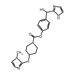 Cn1ccnc1SC1CCN(C(=O)Oc2ccc(C(S)c3ncc[nH]3)cc2)CC1